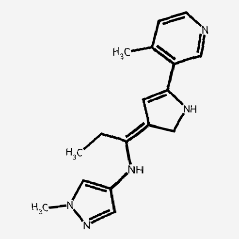 CC/C(Nc1cnn(C)c1)=C1\C=C(c2cnccc2C)NC1